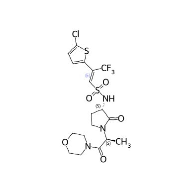 C[C@@H](C(=O)N1CCOCC1)N1CC[C@H](NS(=O)(=O)/C=C(/c2ccc(Cl)s2)C(F)(F)F)C1=O